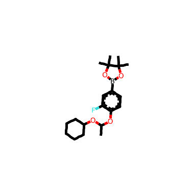 CC(Oc1ccc(B2OC(C)(C)C(C)(C)O2)cc1F)OC1CCCCC1